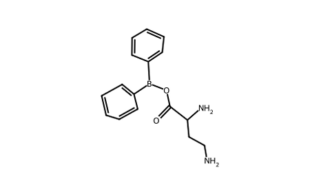 NCCC(N)C(=O)OB(c1ccccc1)c1ccccc1